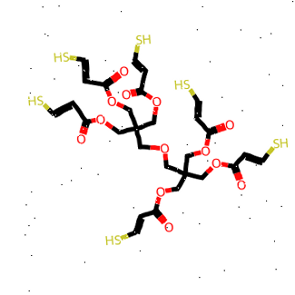 O=C(C=CS)OCC(COCC(COC(=O)C=CS)(COC(=O)C=CS)COC(=O)C=CS)(COC(=O)C=CS)COC(=O)C=CS